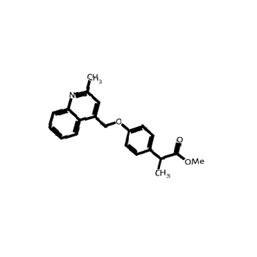 COC(=O)C(C)c1ccc(OCc2cc(C)nc3ccccc23)cc1